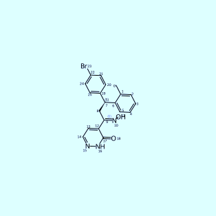 Cc1ccccc1[C@@H](C/C(=N\O)c1ccn[nH]c1=O)c1ccc(Br)cc1